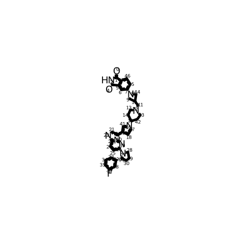 O=C1NC(=O)c2cc(N3CC(CN4CCC(n5ccc(-c6cnc7ccc(N8CCC[C@@H]8c8cccc(F)c8)nn67)c5)CC4)C3)ccc21